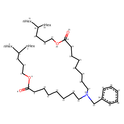 CCCCCCC(CCCCCC)CCCOC(=O)CCCCCCCN(CCCCCCCC(=O)OCCCC(CCCCCC)CCCCCC)Cc1ccccc1